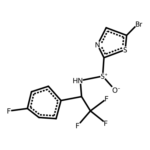 [O-][S+](NC(c1ccc(F)cc1)C(F)(F)F)c1ncc(Br)s1